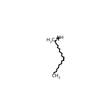 C=C(CCCCCCC/C=C\CCCCCCCC)N=N